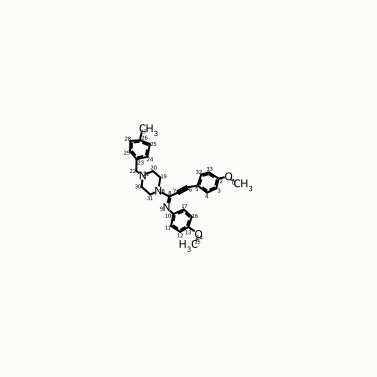 COc1ccc(C#CC(=Nc2ccc(OC)cc2)N2CCN(Cc3ccc(C)cc3)CC2)cc1